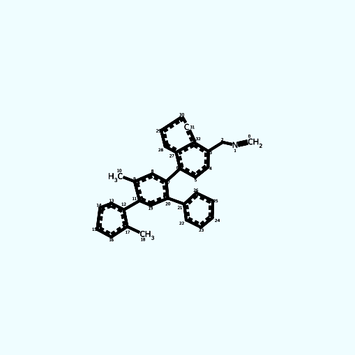 C=NCc1ccc(-c2cc(C)c(-c3ccccc3C)cc2-c2ccccc2)c2ccccc12